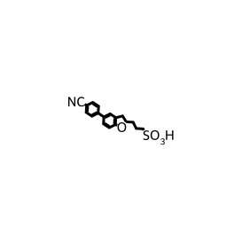 N#Cc1ccc(-c2ccc3c(c2)CC(CCCS(=O)(=O)O)O3)cc1